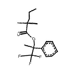 CCC(C)(C)C(=O)OC(C)(c1ccccc1)C(F)(F)F